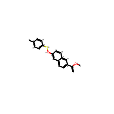 C=C(OC)c1ccc2cc(OSc3ccc(C)cc3)ccc2c1